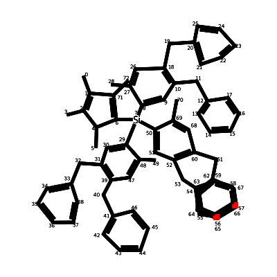 CC1=C(C)C(C)C([Si](c2cc(Cc3ccccc3)c(Cc3ccccc3)cc2C)(c2cc(Cc3ccccc3)c(Cc3ccccc3)cc2C)c2cc(Cc3ccccc3)c(Cc3ccccc3)cc2C)=C1C